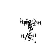 CC(C)OC(=O)Nc1ccc(-c2ncc(-c3ccc(-c4cnc[nH]4)cc3S(=O)(=O)NC(C)(C)C)s2)cc1